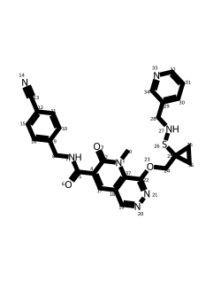 Cn1c(=O)c(C(=O)NCc2ccc(C#N)cc2)cc2cnnc(OCC3(SNCc4cccnc4)CC3)c21